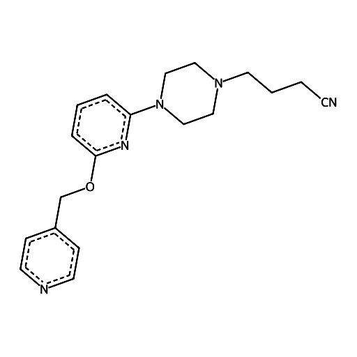 N#CCCCN1CCN(c2cccc(OCc3ccncc3)n2)CC1